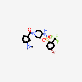 CN(C)c1cccc(C(=O)N2CCC(NS(=O)(=O)c3ccc(Br)cc3C(F)(F)F)CC2)c1